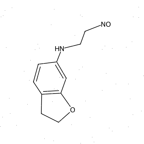 O=NCCNc1ccc2c(c1)OCC2